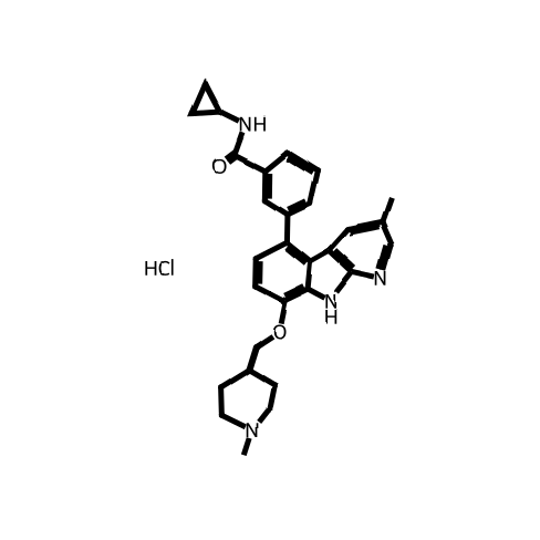 Cc1cnc2[nH]c3c(OCC4CCN(C)CC4)ccc(-c4cccc(C(=O)NC5CC5)c4)c3c2c1.Cl